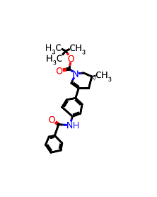 C[C@H]1CC(c2ccc(NC(=O)c3ccccc3)cc2)=CN(C(=O)OC(C)(C)C)C1